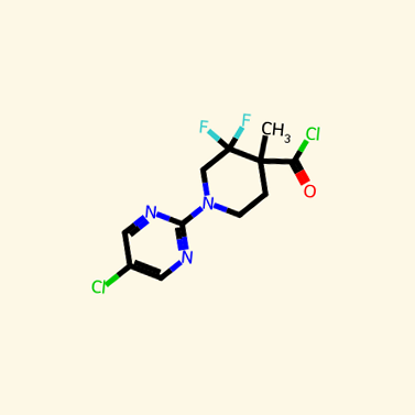 CC1(C(=O)Cl)CCN(c2ncc(Cl)cn2)CC1(F)F